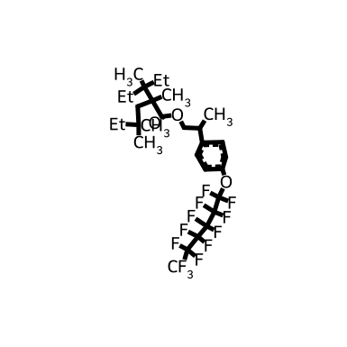 CCC(C)(C)CC(C)(C(=O)OCC(C)c1ccc(OC(F)(F)C(F)(F)C(F)(F)C(F)(F)C(F)(F)C(F)(F)F)cc1)C(C)(CC)CC